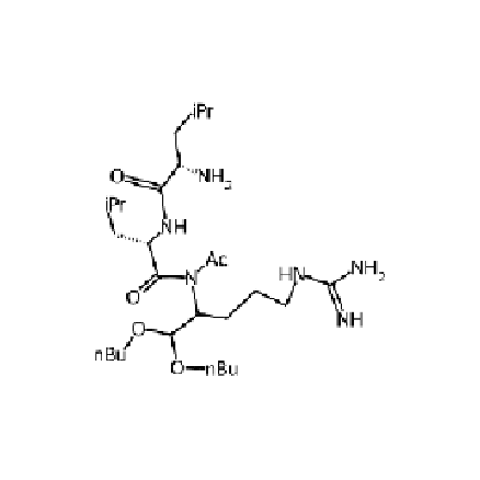 CCCCOC(OCCCC)C(CCCNC(=N)N)N(C(C)=O)C(=O)[C@H](CC(C)C)NC(=O)[C@@H](N)CC(C)C